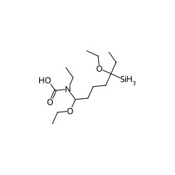 CCOC(CCCC([SiH3])(CC)OCC)N(CC)C(=O)O